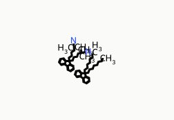 CC(C)(C#N)CCCCC1(CCCCC(C)(C)C#N)c2ccccc2-c2ccccc21.CCCCCCCCC1(CCCCCCCC)c2ccccc2-c2ccccc21